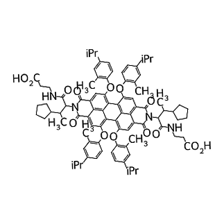 Cc1cc(C(C)C)ccc1Oc1cc2c3c(cc(Oc4ccc(C(C)C)cc4C)c4c5c(Oc6ccc(C(C)C)cc6C)cc6c7c(cc(Oc8ccc(C(C)C)cc8C)c(c1c34)c75)C(=O)N(C(C(=O)NCCC(=O)O)C(C)C1CCCC1)C6=O)C(=O)N(C(C(=O)NCCC(=O)O)C(C)C1CCCC1)C2=O